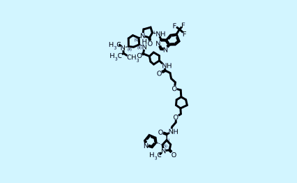 CC(C)N(C)[C@@H]1CC[C@H](N2CC[C@H](Nc3ncnc4ccc(C(F)(F)F)cc34)C2=O)[C@H](NC(=O)C2CCC(NC(=O)CCCOCC3CCC(COCCNC(=O)[C@H]4CC(=O)N(C)[C@@H]4c4cccnc4)CC3)CC2)C1